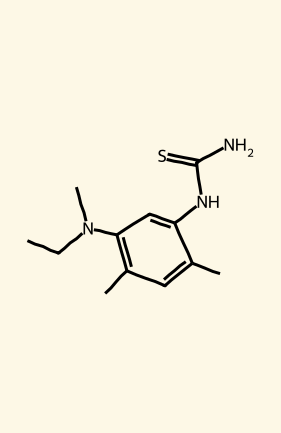 CCN(C)c1cc(NC(N)=S)c(C)cc1C